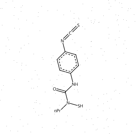 [CH2]CCN(S)C(=O)Nc1ccc(N=C=S)cc1